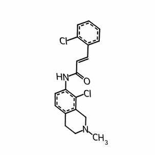 CN1CCc2ccc(NC(=O)C=Cc3ccccc3Cl)c(Cl)c2C1